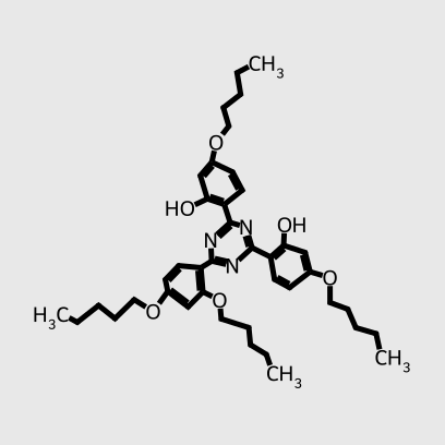 CCCCCOc1ccc(-c2nc(-c3ccc(OCCCCC)cc3O)nc(-c3ccc(OCCCCC)cc3OCCCCC)n2)c(O)c1